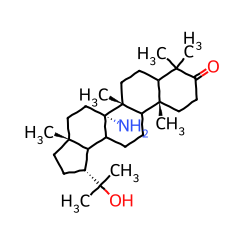 CC1(C)C(=O)CC[C@@]2(C)C1CC[C@]1(C)C2CCC2C3[C@H](C(C)(C)O)CC[C@]3(C)CC[C@]21N